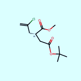 C=C(Cl)C[C@@H](CC(=O)OC(C)(C)C)C(=O)OC